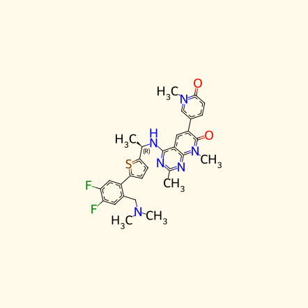 Cc1nc(N[C@H](C)c2ccc(-c3cc(F)c(F)cc3CN(C)C)s2)c2cc(-c3ccc(=O)n(C)c3)c(=O)n(C)c2n1